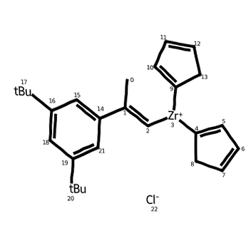 C/C(=[CH]\[Zr+]([C]1=CC=CC1)[C]1=CC=CC1)c1cc(C(C)(C)C)cc(C(C)(C)C)c1.[Cl-]